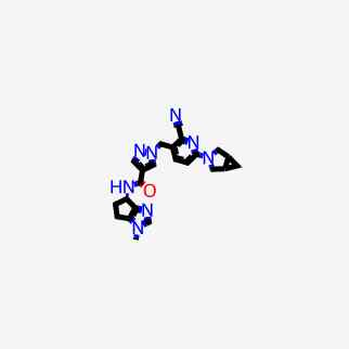 Cn1cnc2c1CC[C@H]2NC(=O)c1cnn(Cc2ccc(N3CC4CC4C3)nc2C#N)c1